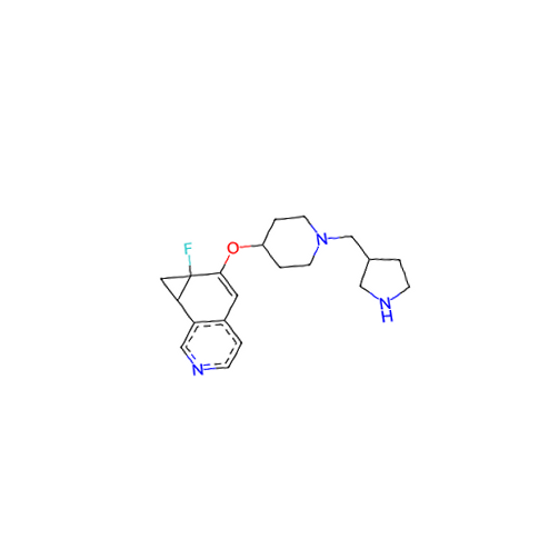 FC12CC1c1cnccc1C=C2OC1CCN(CC2CCNC2)CC1